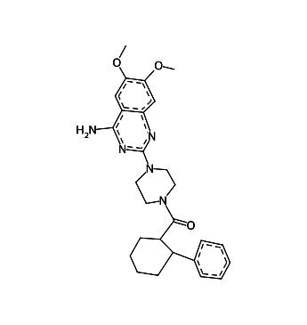 COc1cc2nc(N3CCN(C(=O)C4CCCCC4c4ccccc4)CC3)nc(N)c2cc1OC